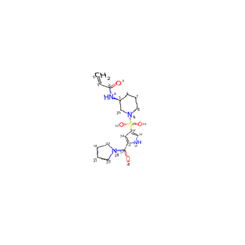 C=CC(=O)N[C@H]1CCCN(S(=O)(=O)c2c[nH]c(C(=O)N3CCCC3)c2)C1